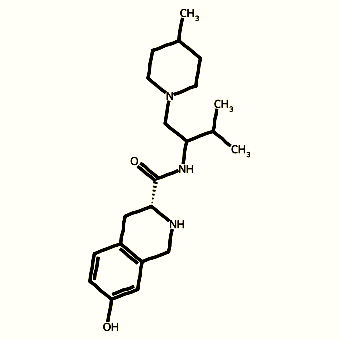 CC1CCN(CC(NC(=O)[C@H]2Cc3ccc(O)cc3CN2)C(C)C)CC1